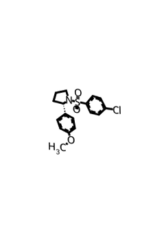 COc1ccc([C@@H]2CCCN2S(=O)(=O)c2ccc(Cl)cc2)cc1